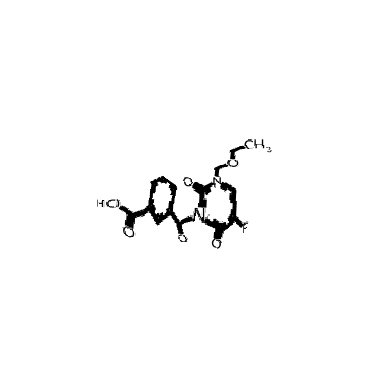 CCOCn1cc(F)c(=O)n(C(=O)c2cccc(C(=O)O)c2)c1=O